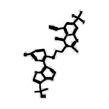 Cc1nc2cc(C(F)(F)F)cc(C#N)c2c(=O)n1CCOc1ccc(Cl)cc1-c1ccnc2c(C(C)(C)O)csc12